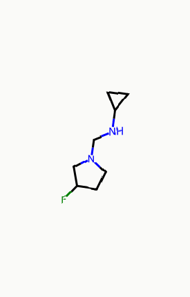 FC1CCN(CNC2CC2)C1